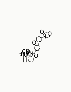 N#C[PH]1(NC(=O)C2(NC(=O)c3ccc4c(c3)oc3ccc(N5CCOCC5=O)cc34)CCCCC2)CC1